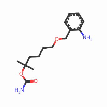 CC(C)(CCCCOCc1ccccc1N)OC(N)=O